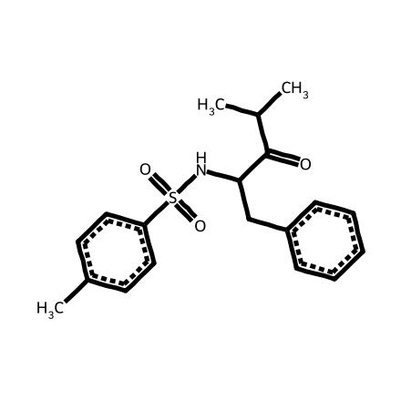 Cc1ccc(S(=O)(=O)NC(Cc2ccccc2)C(=O)C(C)C)cc1